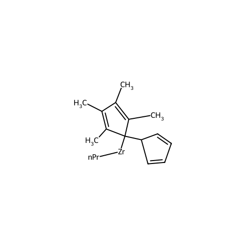 CC[CH2][Zr][C]1(C2C=CC=C2)C(C)=C(C)C(C)=C1C